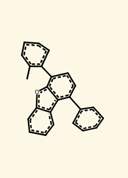 Cc1ccccc1-c1ccc(-c2ccccc2)c2c1oc1ccccc12